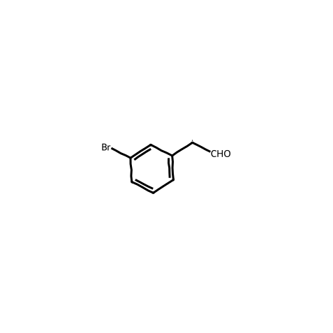 O=C[CH]c1cccc(Br)c1